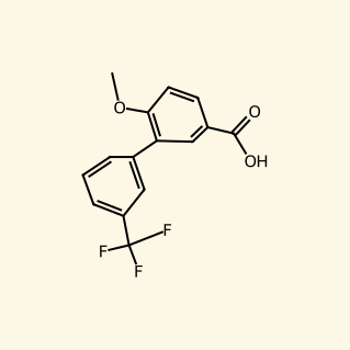 COc1ccc(C(=O)O)cc1-c1cccc(C(F)(F)F)c1